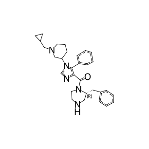 O=C(c1ncn(C2CCCN(CC3CC3)C2)c1-c1ccccc1)N1CCNC[C@H]1Cc1ccccc1